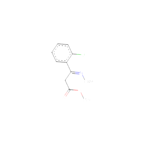 CCCCOC(=O)CC(=NOC)c1c[c]ccc1Cl